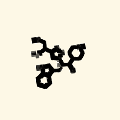 NC(CO)c1cn([C@@H](Cc2c[nH]c3ccccc23)C(=O)C2CCNCC2)nn1